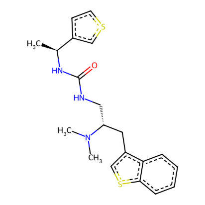 C[C@H](NC(=O)NC[C@H](Cc1csc2ccccc12)N(C)C)c1ccsc1